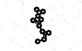 c1ccc(-c2cccc(-n3c4ccccc4c4cc(-c5ccc6c(c5)c5ccccc5n6-c5ccccc5-c5ccc6c7ccccc7c7ccccc7c6c5)ccc43)c2)cc1